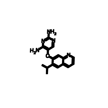 CC(C)c1cc2cccnc2cc1Oc1cnc(N)nc1N